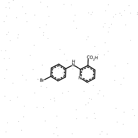 O=C(O)c1cccnc1Nc1ccc(Br)cc1